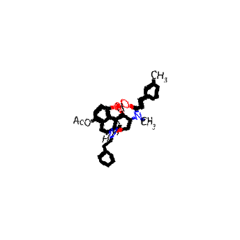 CC(=O)Oc1ccc2c3c1C[C@@H]1[C@@H]4CC[C@H](N(C)C(=O)C=Cc5cccc(C)c5)[C@H](O2)[C@]34CCN1CCc1ccccc1